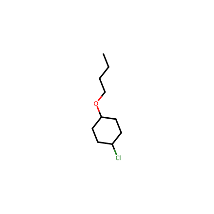 CCCCOC1CCC(Cl)CC1